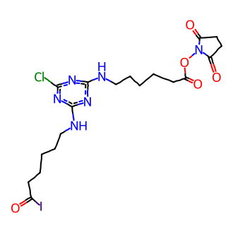 O=C(I)CCCCCNc1nc(Cl)nc(NCCCCCC(=O)ON2C(=O)CCC2=O)n1